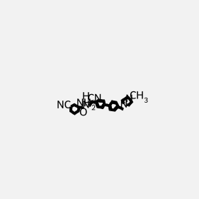 CN1CCN(Cc2ccc(-c3ccc([C@H](C#N)CNC(=O)C4(N)CCCC(C#N)C4)cc3)cc2)CC1